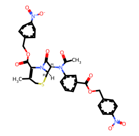 CC(=O)N(c1cccc(C(=O)OCc2ccc([N+](=O)[O-])cc2)c1)[C@@H]1C(=O)N2C(C(=O)OCc3ccc([N+](=O)[O-])cc3)=C(C)CS[C@H]12